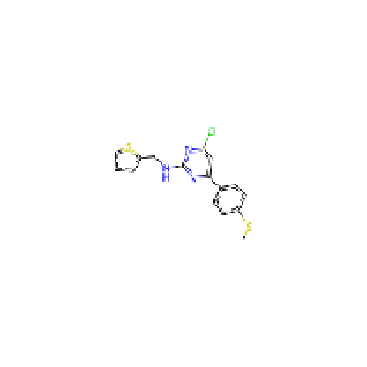 CSc1ccc(-c2cc(Cl)nc(NCc3cccs3)n2)cc1